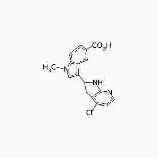 Cn1cc(C2Cc3c(Cl)ccnc3N2)c2cc(C(=O)O)ccc21